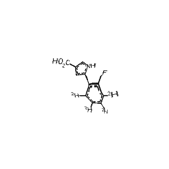 [2H]c1c([2H])c([2H])c(-c2cc(C(=O)O)c[nH]2)c(F)c1[2H]